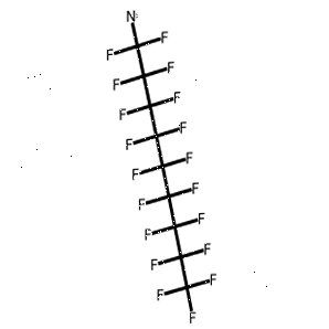 [N]C(F)(F)C(F)(F)C(F)(F)C(F)(F)C(F)(F)C(F)(F)C(F)(F)C(F)(F)C(F)(F)F